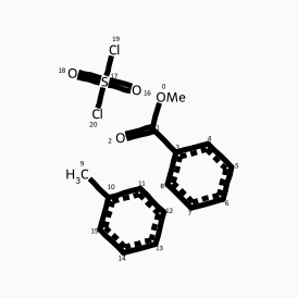 COC(=O)c1ccccc1.Cc1ccccc1.O=S(=O)(Cl)Cl